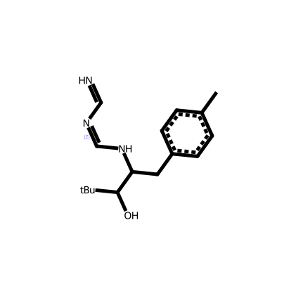 Cc1ccc(CC(N/C=N\C=N)C(O)C(C)(C)C)cc1